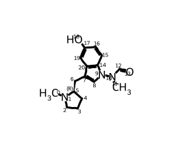 CN1CCC[C@@H]1Cc1cn(N(C)C=O)c2ccc(O)cc12